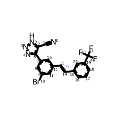 N#Cc1[nH]nnc1-c1cc(Br)cc(/C=C/c2cccc(C(F)(F)F)c2)c1